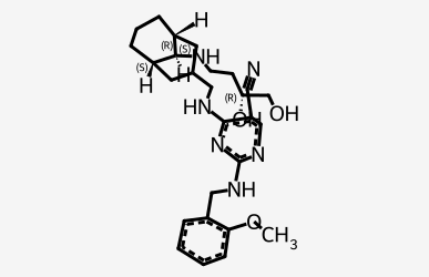 COc1ccccc1CNc1ncc(C#N)c(NCC2C[C@H]3CCC[C@@H](C2)[C@@H]3NCC[C@@H](O)CO)n1